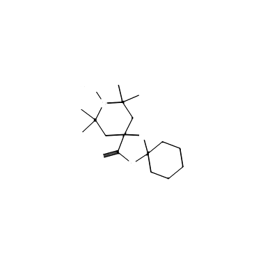 CON1C(C)(C)CC2(CC1(C)C)OC1(CCCCC1)NC2=O